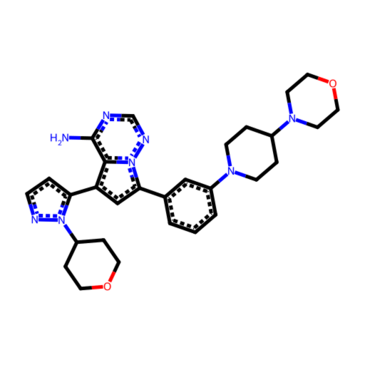 Nc1ncnn2c(-c3cccc(N4CCC(N5CCOCC5)CC4)c3)cc(-c3ccnn3C3CCOCC3)c12